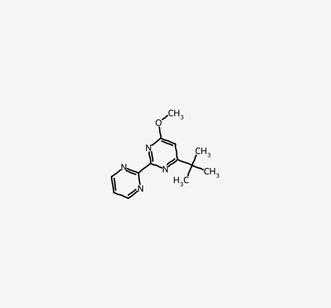 COc1cc(C(C)(C)C)nc(-c2ncccn2)n1